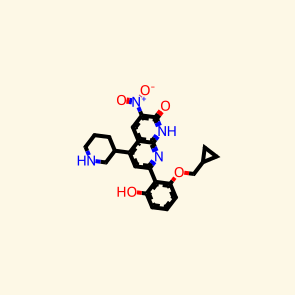 O=c1[nH]c2nc(-c3c(O)cccc3OCC3CC3)cc(C3CCCNC3)c2cc1[N+](=O)[O-]